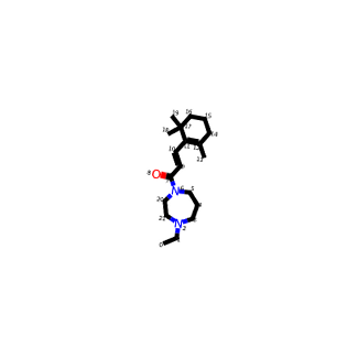 CCN1CCCN(C(=O)C=CC2=C(C)CCCC2(C)C)CC1